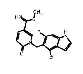 CSC(=N)c1ccc(=O)n(Cc2c(F)cc3[nH]ccc3c2Br)c1